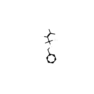 CCCCCCC(=C(C)C)C(C)(CCC)NCc1ccccc1